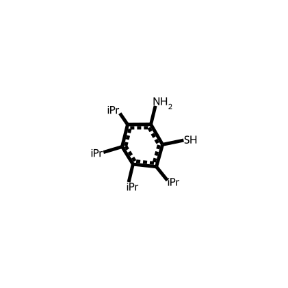 CC(C)c1c(N)c(S)c(C(C)C)c(C(C)C)c1C(C)C